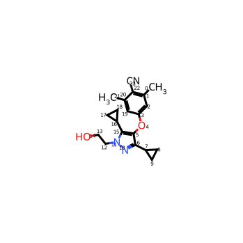 Cc1cc(Oc2c(C3CC3)nn(CCO)c2C2CC2)cc(C)c1C#N